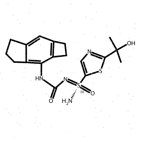 CC(C)(O)c1ncc([S@@](N)(=O)=NC(=O)Nc2c3c(cc4c2CC4)CCC3)s1